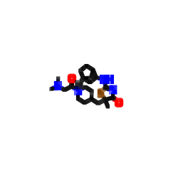 CN(C)CC(=O)N1CCC(CC2(C)SC(N[C@H]3C[C@@H]4CCC3C4)=NC2=O)CC1